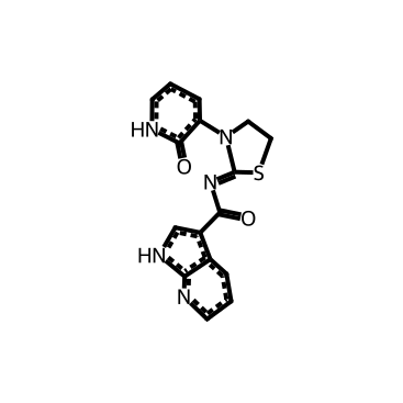 O=C(/N=C1\SCCN1c1ccc[nH]c1=O)c1c[nH]c2ncccc12